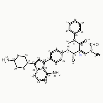 CC(C)N(C=O)/C=C(/C(=O)Nc1ccc(-c2cc(C3CCC(N)CC3)n3ncnc(N)c23)cc1)C(=O)N(C)c1ccccc1